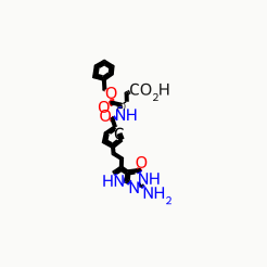 Nc1nc2[nH]cc(CCc3ccc(C(=O)N[C@@H](CCC(=O)O)C(=O)OCc4ccccc4)cc3)c2c(=O)[nH]1